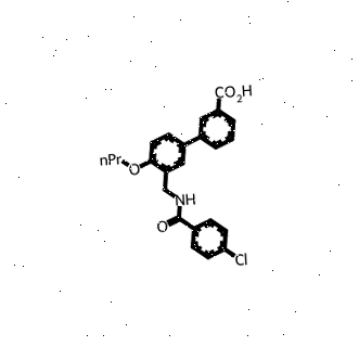 CCCOc1ccc(-c2cccc(C(=O)O)c2)cc1CNC(=O)c1ccc(Cl)cc1